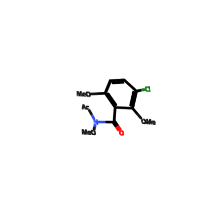 COc1ccc(Cl)c(OC)c1C(=O)N(OC)C(C)=O